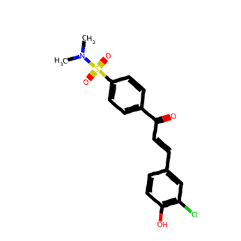 CN(C)S(=O)(=O)c1ccc(C(=O)C=Cc2ccc(O)c(Cl)c2)cc1